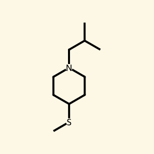 CSC1CCN(CC(C)C)CC1